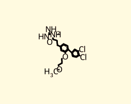 COCCCOc1cc(CCC(=O)NC(=N)N)ccc1-c1ccc(Cl)c(Cl)c1